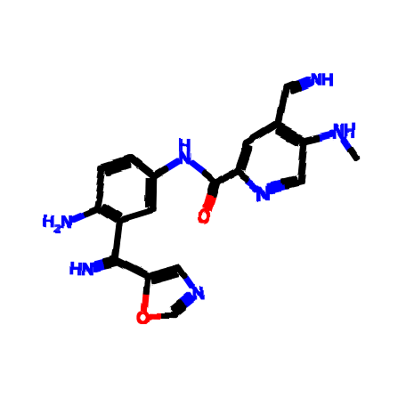 CNc1cnc(C(=O)Nc2ccc(N)c(C(=N)c3cnco3)c2)cc1C=N